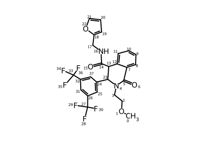 COCCN1C(=O)c2ccccc2C(C(=O)NCc2ccco2)C1c1cc(C(F)(F)F)cc(C(F)(F)F)c1